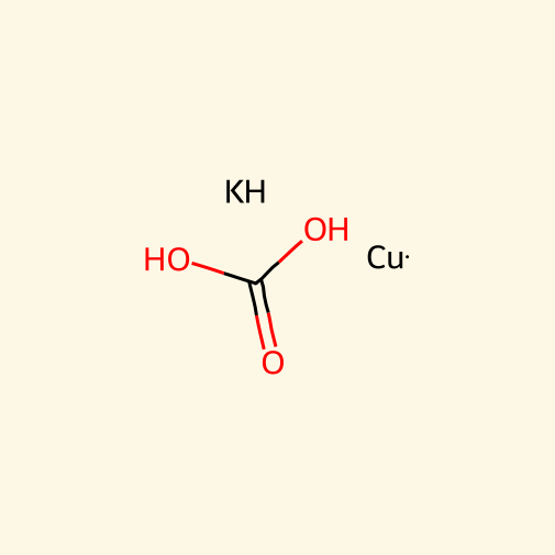 O=C(O)O.[Cu].[KH]